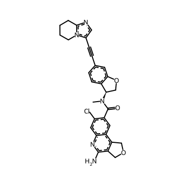 CN(C(=O)c1cc2c3c(c(N)nc2cc1Cl)COC3)[C@@H]1COc2cc(C#Cc3cnc4n3CCCC4)ccc21